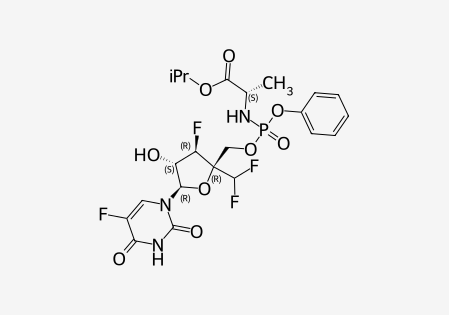 CC(C)OC(=O)[C@H](C)NP(=O)(OC[C@@]1(C(F)F)O[C@@H](n2cc(F)c(=O)[nH]c2=O)[C@H](O)[C@H]1F)Oc1ccccc1